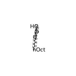 CCCCCCCCCCCCC[CH]OCCOCCO